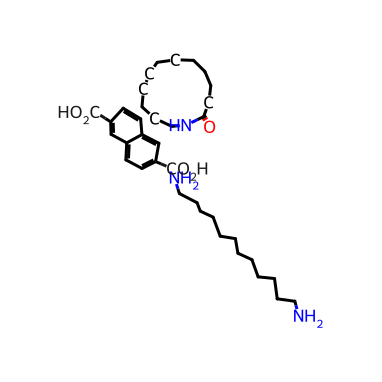 NCCCCCCCCCCCCN.O=C(O)c1ccc2cc(C(=O)O)ccc2c1.O=C1CCCCCCCCCCCN1